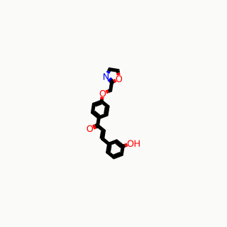 O=C(/C=C/c1cccc(O)c1)c1ccc(OCC2=NCCO2)cc1